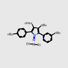 CCCCCCC1=C(c2ccc(CCCC)cc2)[N+](=[N-])C(c2cccc(CCCC)c2)=C1CCCC.C[CH2][Ni][CH2]C